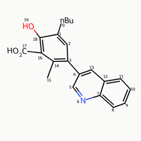 CCCCc1cc(-c2cnc3ccccc3c2)c(C)c(C(=O)O)c1O